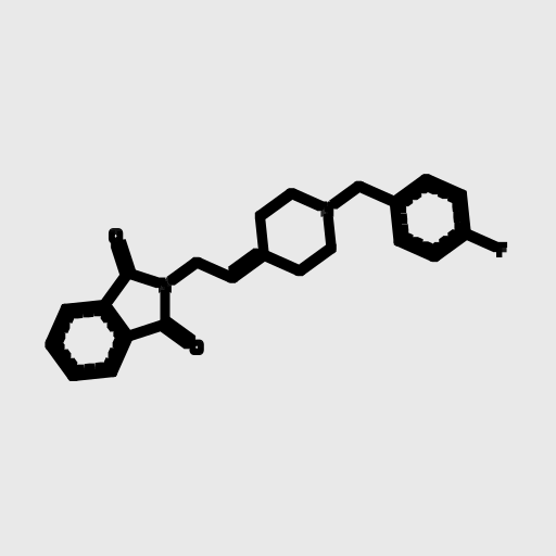 O=C1c2ccccc2C(=O)N1CC=C1CCN(Cc2ccc(F)cc2)CC1